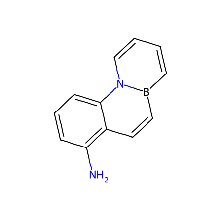 Nc1cccc2c1C=CB1C=CC=CN12